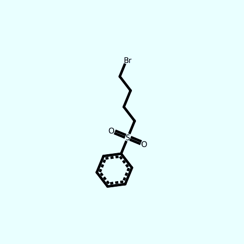 O=S(=O)(CCCCBr)c1ccccc1